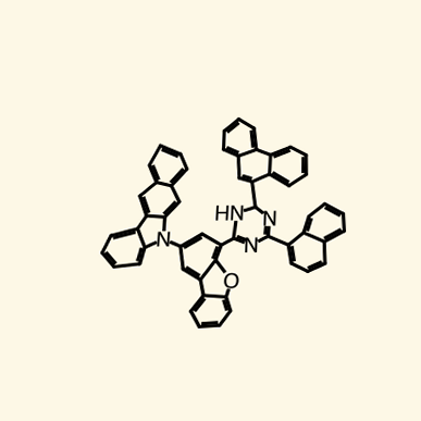 c1ccc2cc3c(cc2c1)c1ccccc1n3-c1cc(C2=NC(c3cccc4ccccc34)=NC(c3cc4ccccc4c4ccccc34)N2)c2oc3ccccc3c2c1